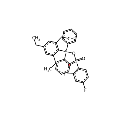 CCc1cc(CC)c(S(OS(=O)(=O)c2ccc(F)cc2F)(c2ccccc2)c2ccccc2)c(CC)c1